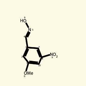 COc1cc(C=NO)cc([N+](=O)[O-])c1